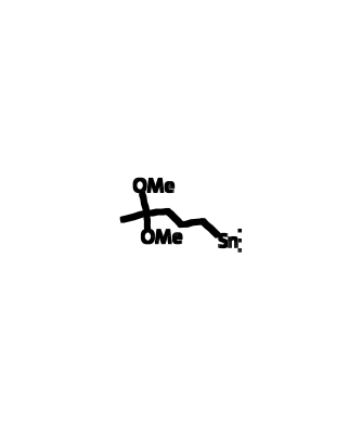 COC(C)(CC[CH2][Sn])OC